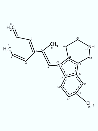 C=C/C=C(\C=C/C)C(/C)=C/n1c2c(c3cc(C)ccc31)CNCC2